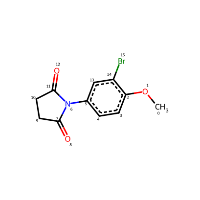 COc1ccc(N2C(=O)CCC2=O)cc1Br